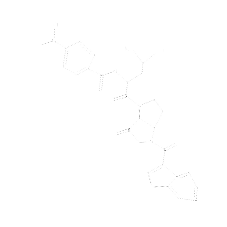 CC(C)CC(NC(=O)c1ccc(N(C)C)cc1)C(=O)N1CCC2C1C(=O)CN2C(=O)c1csc2ccccc12